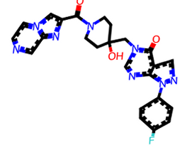 O=C(c1cn2ccncc2n1)N1CCC(O)(Cn2cnc3c(cnn3-c3ccc(F)cc3)c2=O)CC1